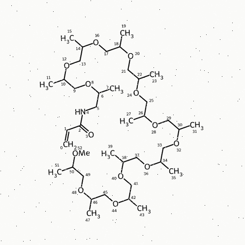 C=CC(=O)NCC(C)OCC(C)OCC(C)OCC(C)OCC(C)OCC(C)OCC(C)OCC(C)OCC(C)OCC(C)OCC(C)OCC(C)OC